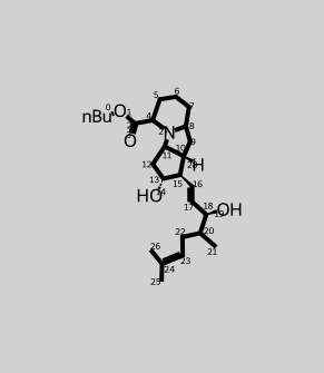 CCCCOC(=O)C1CCCC2C[C@H]3C(C[C@@H](O)[C@@H]3/C=C/[C@@H](O)C(C)CC=C(C)C)N21